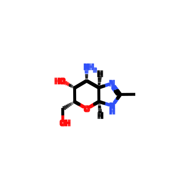 CC1=N[C@@H]2[C@@H](N)[C@@H](O)[C@@H](CO)O[C@@H]2N1